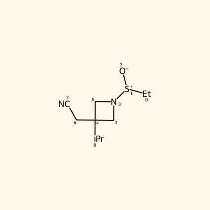 CC[S+]([O-])N1CC(CC#N)(C(C)C)C1